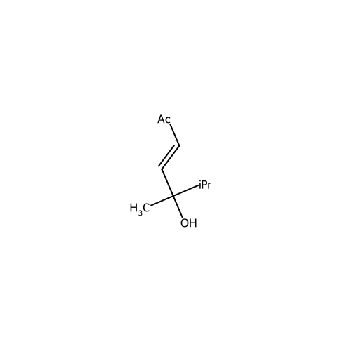 CC(=O)/C=C/C(C)(O)C(C)C